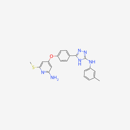 CSc1cc(Oc2ccc(-c3nnc(Nc4cccc(C)c4)[nH]3)cc2)cc(N)n1